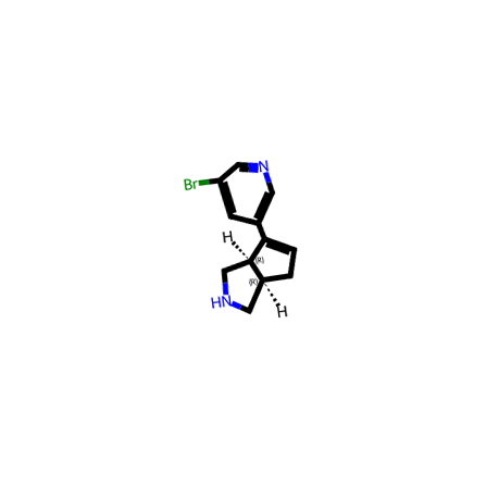 Brc1cncc(C2=CC[C@H]3CNC[C@@H]23)c1